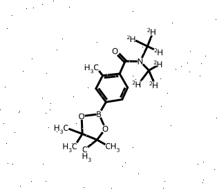 [2H]C([2H])([2H])N(C(=O)c1ccc(B2OC(C)(C)C(C)(C)O2)cc1C)C([2H])([2H])[2H]